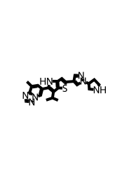 Cc1cc(-c2[nH]c3cc(-c4cnn(C5CCNC5)c4)sc3c2C(C)C)cn2ncnc12